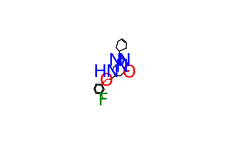 O=C1CC(COc2cccc(F)c2)Nc2nc(C3CC=CCC3)nn21